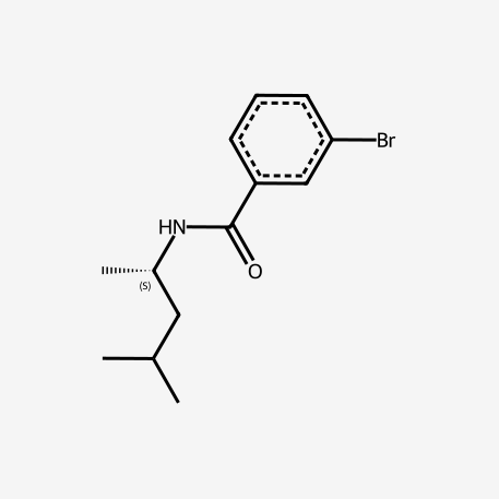 CC(C)C[C@H](C)NC(=O)c1cccc(Br)c1